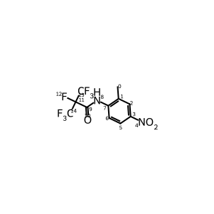 Cc1cc([N+](=O)[O-])ccc1NC(=O)C(F)(C(F)(F)F)C(F)(F)F